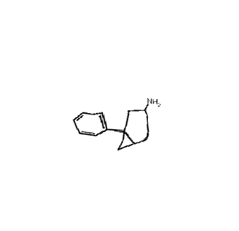 NC1CC2CC2(c2ccccc2)C1